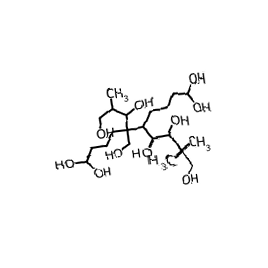 CC(CO)C(O)C(CO)(CCCC(O)O)C(CCCC(O)O)C(O)C(O)C(C)(C)CO